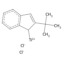 CC(C)(C)C1=Cc2ccccc2[CH]1[Ti+2].[Cl-].[Cl-]